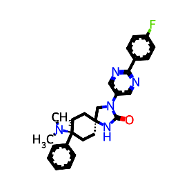 CN(C)[C@]1(c2ccccc2)CC[C@]2(CC1)CN(c1cnc(-c3ccc(F)cc3)nc1)C(=O)N2